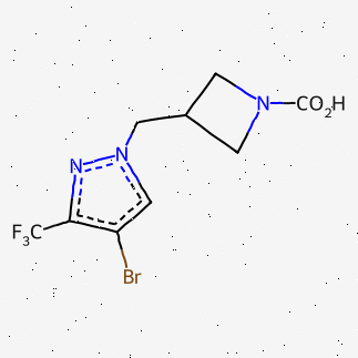 O=C(O)N1CC(Cn2cc(Br)c(C(F)(F)F)n2)C1